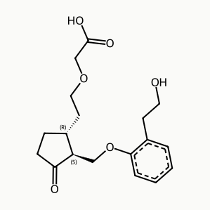 O=C(O)COCC[C@H]1CCC(=O)[C@@H]1COc1ccccc1CCO